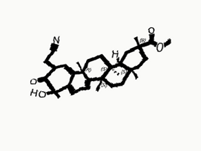 COC(=O)[C@]1(C)CC[C@]2(C)CC[C@]3(C)C4=CC=C5C(=CC(CC#N)C(=O)C5(C)O)[C@]4(C)CC[C@@]3(C)[C@@H]2C1